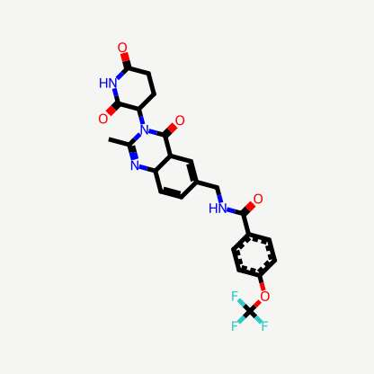 CC1=NC2C=CC(CNC(=O)c3ccc(OC(F)(F)F)cc3)=CC2C(=O)N1C1CCC(=O)NC1=O